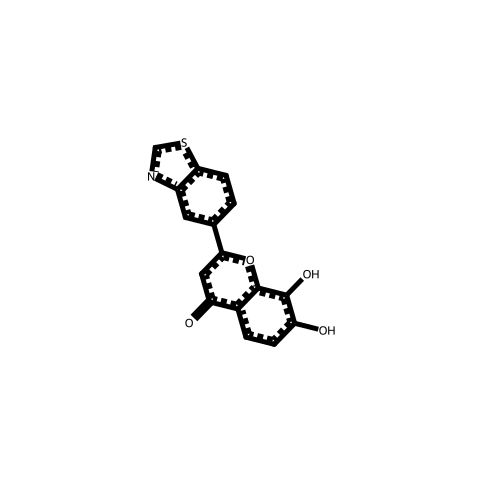 O=c1cc(-c2ccc3scnc3c2)oc2c(O)c(O)ccc12